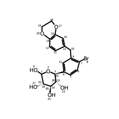 OC1O[C@@H](c2ccc(Br)c(Cc3ccc4c(c3)OCCO4)c2)[C@H](O)[C@@H](O)[C@@H]1O